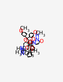 COc1ccc(C(OC(CCN=[N+]=[N-])[C@H]2O[C@H](n3ccc(=O)[nH]c3=O)[C@H](OC)[C@@H]2O[Si](c2ccccc2)(c2ccccc2)C(C)(C)C)(c2ccccc2)c2ccc(OC)cc2)cc1